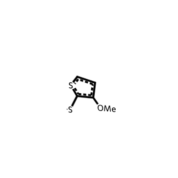 COc1ccsc1[S]